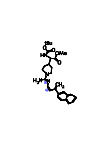 C=C(/C=C\N=C(/N)N1CCC(C(NC(=O)OC(C)(C)C)C(=O)OC)CC1)c1ccc2ccccc2c1